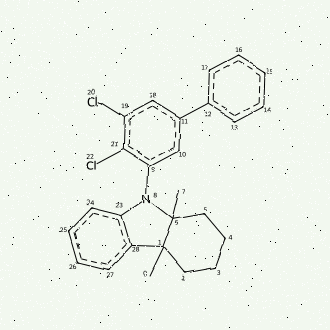 CC12CCCCC1(C)N(c1cc(-c3ccccc3)cc(Cl)c1Cl)c1ccccc12